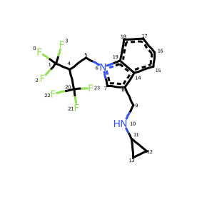 FC(F)(F)C(Cn1cc(CNC2CC2)c2ccccc21)C(F)(F)F